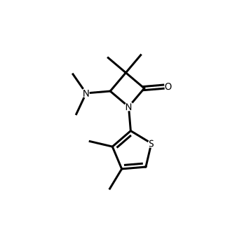 Cc1csc(N2C(=O)C(C)(C)C2N(C)C)c1C